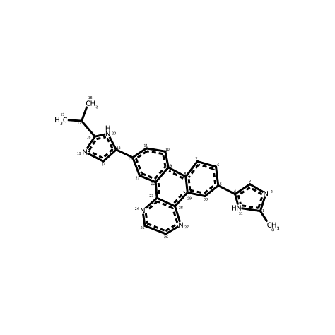 Cc1ncc(-c2ccc3c4ccc(-c5cnc(C(C)C)[nH]5)cc4c4nccnc4c3c2)[nH]1